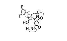 CC1CCC2(CC(O)N(Cc3c(F)cc(F)cc3F)O2)C2CN1C(=O)c1cc(=O)c(C(N)=O)cn12